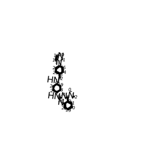 CN(C)c1nc(N[C@H]2CC[C@@H](NCc3ccc(-n4ccnc4)cc3)CC2)nc2ccccc12